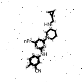 CCCc1cc(N2CCC[C@@H](NCC3CC3)C2)nc(Nc2ccc(F)c(C#N)c2)n1